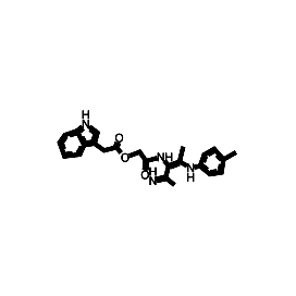 CC(=N)/C(NC(=O)COC(=O)Cc1c[nH]c2ccccc12)=C(/C)Nc1ccc(C)cc1